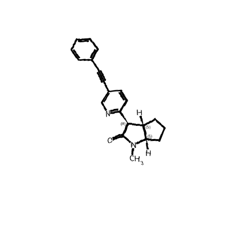 CN1C(=O)[C@@H](c2ccc(C#Cc3ccccc3)cn2)[C@@H]2CCC[C@@H]21